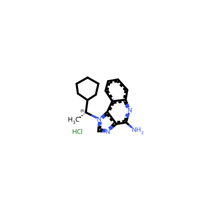 C[C@H](C1CCCCC1)n1cnc2c(N)nc3ccccc3c21.Cl